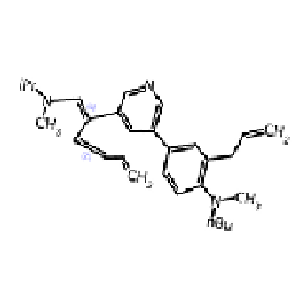 C=C/C=C\C(=C/N(C)C(C)C)c1cncc(-c2ccc(N(C)CCCC)c(CC=C)c2)c1